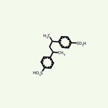 CC(CC(C)c1ccc(S(=O)(=O)O)cc1)c1ccc(S(=O)(=O)O)cc1